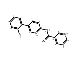 O=C(Nc1ccc(-c2ccccc2Cl)cn1)c1cncnc1